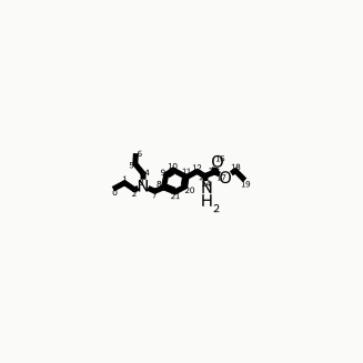 CCCN(CCC)Cc1ccc(CC(N)C(=O)OCC)cc1